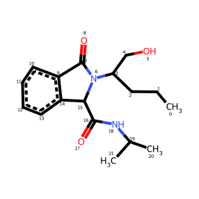 CCCC(CO)N1C(=O)c2ccccc2C1C(=O)NC(C)C